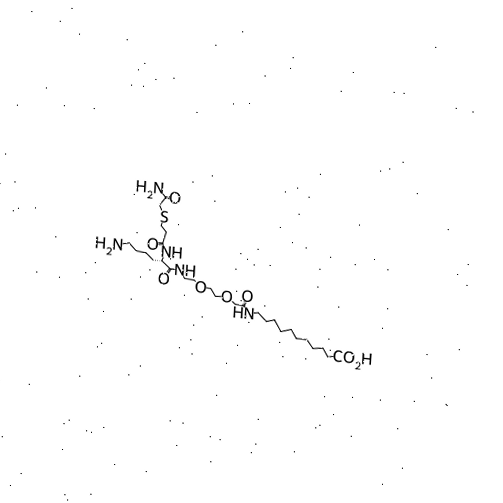 NCCCC[C@H](NC(=O)CCSCC(N)=O)C(=O)NCCOCCOCC(=O)NCCCCCCCCCCC(=O)O